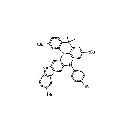 CC(C)(C)c1ccc(N2c3cc4c(cc3B3c5cc(C(C)(C)C)ccc5C(C)(C)c5cc(C(C)(C)C)cc2c53)sc2ccc(C(C)(C)C)cc24)cc1